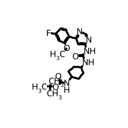 COc1cc(F)ccc1-c1cc(NC(=O)NC2CCC(NC(=O)OC(C)(C)C)CC2)ncn1